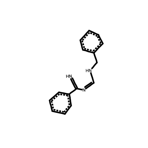 N=C(/N=C\NCc1ccccc1)c1ccccc1